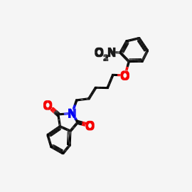 O=C1c2ccccc2C(=O)N1CCCCCOc1ccccc1[N+](=O)[O-]